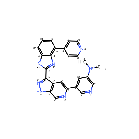 CN(C)c1cncc(-c2cc3c(-c4nc5c(-c6ccncc6)cccc5[nH]4)n[nH]c3cn2)c1